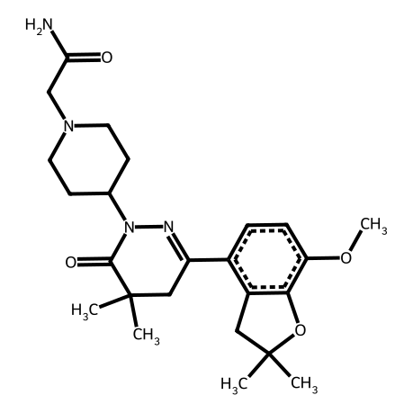 COc1ccc(C2=NN(C3CCN(CC(N)=O)CC3)C(=O)C(C)(C)C2)c2c1OC(C)(C)C2